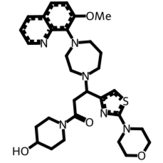 COc1ccc2cccnc2c1N1CCCN(C(CC(=O)N2CCC(O)CC2)c2csc(N3CCOCC3)n2)CC1